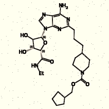 CCNC(=O)[C@H]1O[C@@H](n2cnc3c(N)nc(CCCC4CCN(C(=O)OCC5CCCC5)CC4)nc32)C(O)[C@H]1O